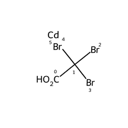 O=C(O)C(Br)(Br)Br.[Cd]